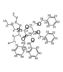 CCC[CH2][Sn]([CH2]CCC)([CH2]CCC)[C@@H]1O[C@H](COCc2ccccc2)[C@@H](OCc2ccccc2)[C@H](OCc2ccccc2)[C@H]1OCc1ccccc1